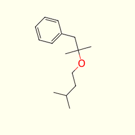 CC(C)CCOC(C)(C)Cc1ccccc1